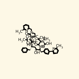 Cc1cccc(CN2CCN([C@H](C(=O)N[C@@H](Cc3ccccc3)C[C@@H](O)[C@H](Cc3ccc(-c4cccc(C)n4)cc3)NC(=O)[C@@H](N(C)C(=O)O)C(C)(C)C)C(C)(C)C)C2=O)n1